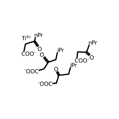 CC(C)CC(=O)CC(=O)[O-].CC(C)CC(=O)CC(=O)[O-].CCCC(=O)CC(=O)[O-].CCCC(=O)CC(=O)[O-].[Ti+4]